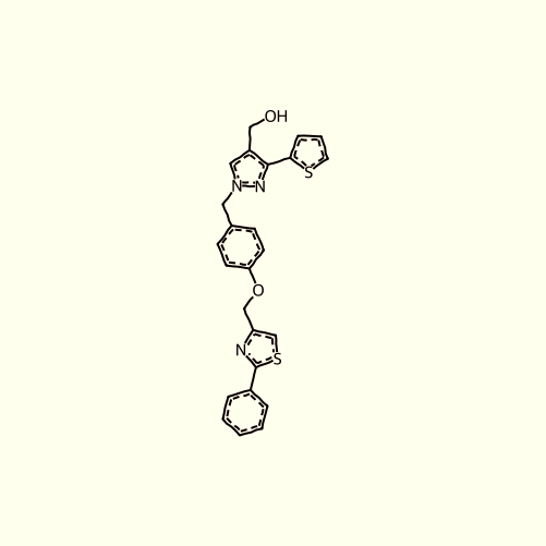 OCc1cn(Cc2ccc(OCc3csc(-c4ccccc4)n3)cc2)nc1-c1cccs1